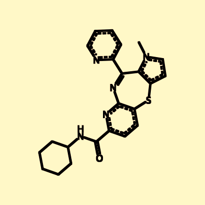 Cn1ccc2c1C(c1ccccn1)=Nc1nc(C(=O)NC3CCCCC3)ccc1S2